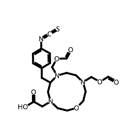 O=COCN1CCOCCN(CC(=O)O)CC(Cc2ccc(N=C=S)cc2)N(COC=O)CC1